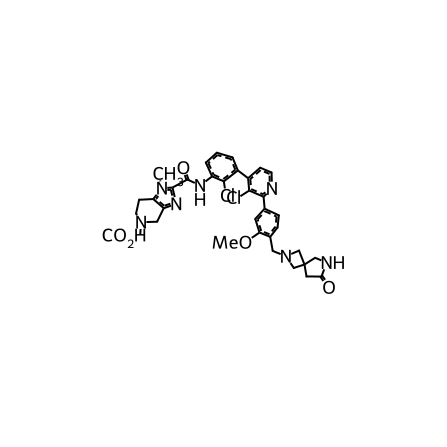 COc1cc(-c2nccc(-c3cccc(NC(=O)c4nc5c(n4C)CCN(C(=O)O)C5)c3Cl)c2Cl)ccc1CN1CC2(CNC(=O)C2)C1